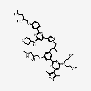 CNCC(O)COc1cccc(-c2nc(NC3CCOCC3)cc(-c3cnn(CC(C)Cc4cc(OCC(O)CNC)cc(-c5nc(-c6c(C)noc6C)cc(N(CCOC)CCOC)n5)c4)c3)n2)c1